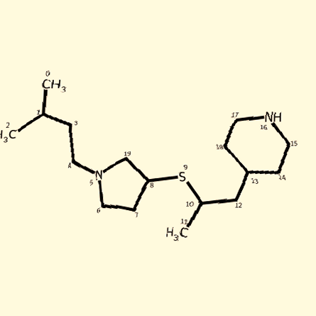 CC(C)CCN1CCC(SC(C)CC2CCNCC2)C1